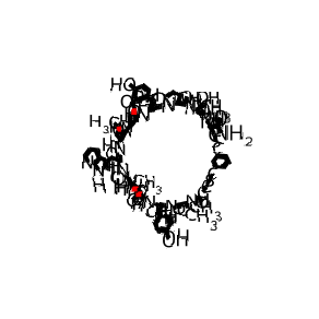 CCC[C@@H]1NC(=O)[C@H](Cc2c[nH]c3ncccc23)NC(=O)[C@H]2NC(=O)[C@@H](NC(=O)[C@H](Cc3ccc(O)cc3)NC(=O)C(C(C)(C)C)NC(=O)CCSCc3cccc(c3)CSC[C@@H](C(N)=O)NC(=O)[C@H]([C@@H](C)O)NC(=O)[C@]3(C)CCCN3C(=O)[C@H](Cc3ccc(O)cc3)NC(=O)[C@H](CCC(=O)O)NC1=O)O[C@@H]2C